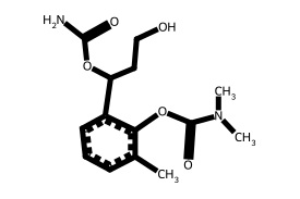 Cc1cccc(C(CCO)OC(N)=O)c1OC(=O)N(C)C